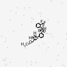 CCOCC1=CN(c2cccc(S(=O)(=O)Nc3ccccc3C(F)(F)F)c2)NN1